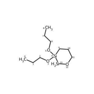 CCCO[Si]1(OCCC)CCCO[SiH2]1